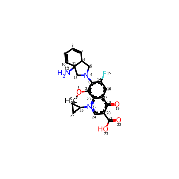 COc1c(N2CC3C=CC=CC3(N)C2)c(F)cc2c(=O)c(C(=O)O)cn(C3CC3)c12